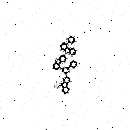 CC1(C)c2ccccc2-c2ccc(-c3nc(-c4ccccc4)nc(-c4cccc5oc6cc(-n7c8ccccc8c8c(-c9ccccc9)cccc87)ccc6c45)n3)cc21